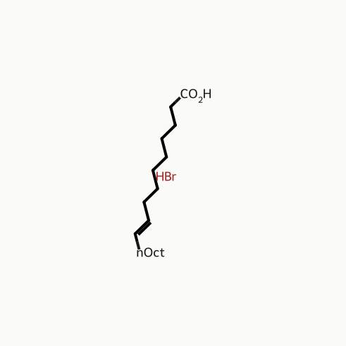 Br.CCCCCCCCC=CCCCCCCCC(=O)O